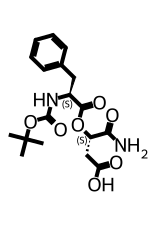 CC(C)(C)OC(=O)N[C@@H](Cc1ccccc1)C(=O)O[C@@H](CC(=O)O)C(N)=O